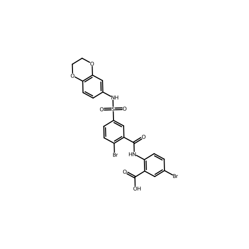 O=C(Nc1ccc(Br)cc1C(=O)O)c1cc(S(=O)(=O)Nc2ccc3c(c2)OCCO3)ccc1Br